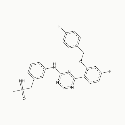 CS(=N)(=O)Cc1cccc(Nc2ncnc(-c3ccc(F)cc3OCc3ccc(F)cc3)n2)c1